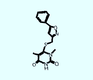 Cc1c(SCc2cc(-c3ccccc3)on2)n(C)c(=O)[nH]c1=O